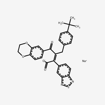 CC(C)(C)c1ccc(CC(C(=O)c2ccc3c(c2)OCCO3)=C(C(=O)[O-])c2ccc3nsnc3c2)cc1.[Na+]